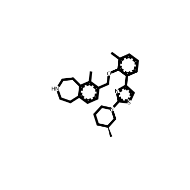 Cc1cccc(-c2csc(N3CCC[C@H](C)C3)n2)c1OCc1ccc2c(c1C)CCNCC2